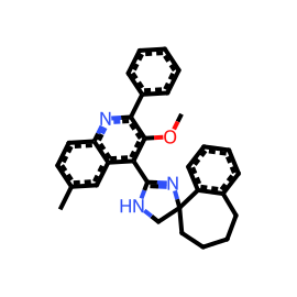 COc1c(-c2ccccc2)nc2ccc(C)cc2c1C1=NC2(CCCCc3ccccc32)CN1